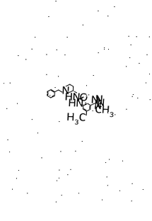 CCc1cc(NC(=O)NC[C@@H]2CCCN(CCc3ccccc3)C2)cc(-c2nnnn2C)c1